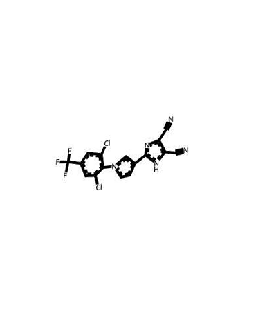 N#Cc1nc(-c2ccn(-c3c(Cl)cc(C(F)(F)F)cc3Cl)c2)[nH]c1C#N